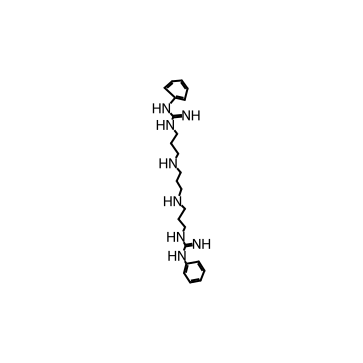 N=C(NCCCNCCCNCCCNC(=N)Nc1ccccc1)Nc1ccccc1